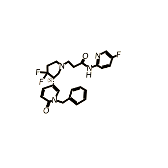 O=C(CCN1CCC(F)(F)[C@@H](c2ccc(=O)n(Cc3ccccc3)c2)C1)Nc1ccc(F)cn1